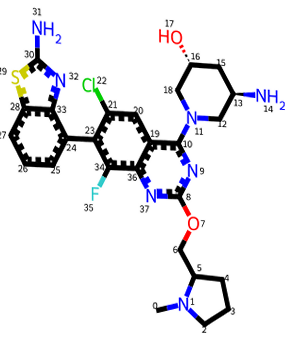 CN1CCCC1COc1nc(N2C[C@H](N)C[C@@H](O)C2)c2cc(Cl)c(-c3cccc4sc(N)nc34)c(F)c2n1